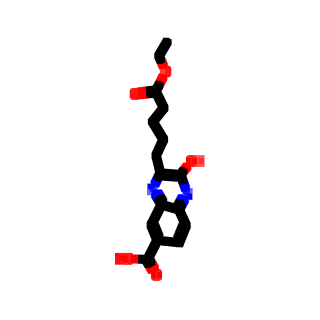 CCOC(=O)CCCCc1nc2cc(C(=O)O)ccc2nc1O